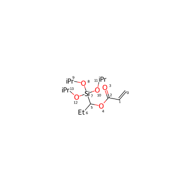 C=CC(=O)OC(CC)[Si](OC(C)C)(OC(C)C)OC(C)C